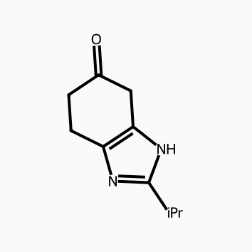 CC(C)c1nc2c([nH]1)CC(=O)CC2